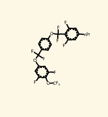 CCCc1cc(F)c(C(F)(F)Oc2ccc(C(F)(F)Oc3cc(F)c(OC(F)(F)F)c(F)c3)cc2)c(F)c1